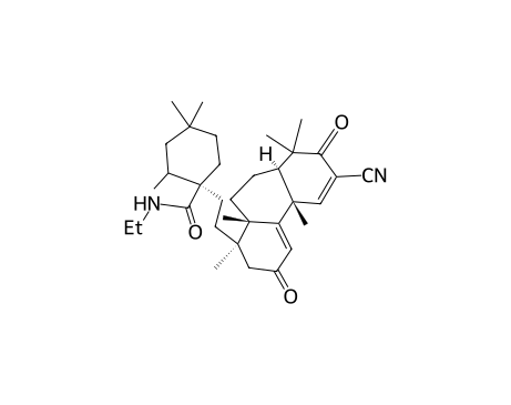 CCNC(=O)[C@]1(CC[C@]2(C)CC(=O)C=C3[C@@]4(C)C=C(C#N)C(=O)C(C)(C)[C@@H]4CC[C@]32C)CCC(C)(C)CC1C